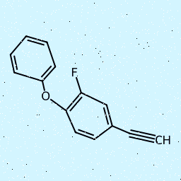 C#Cc1ccc(Oc2ccccc2)c(F)c1